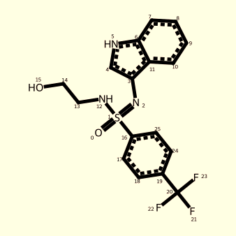 O=S(=Nc1c[nH]c2ccccc12)(NCCO)c1ccc(C(F)(F)F)cc1